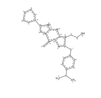 CC(C)c1ccc(Sc2nc3c(=O)n4cc(-c5ccccc5)[nH]c4nc3n2CCO)cc1